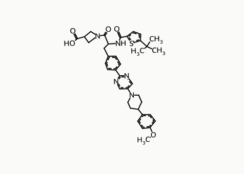 COc1ccc(C2CCN(c3cnc(-c4ccc(CC(NC(=O)c5ccc(C(C)(C)C)s5)C(=O)N5CC(C(=O)O)C5)cc4)nc3)CC2)cc1